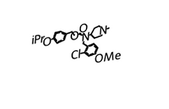 COc1ccc(CN(C(=O)OCc2ccc(OC(C)C)cc2)C2CCN(C)CC2)c(Cl)c1